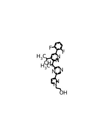 CC(C)c1cc(-c2c(F)cccc2F)nnc1C(C)c1cncc(-c2ccn(CCO)n2)n1